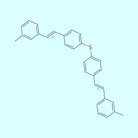 Cc1cccc(/C=C/c2ccc(Sc3ccc(/C=C/c4cccc(C)c4)cc3)cc2)c1